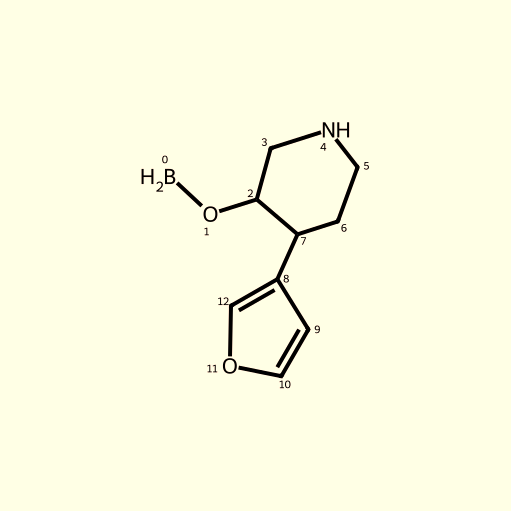 BOC1CNCCC1c1ccoc1